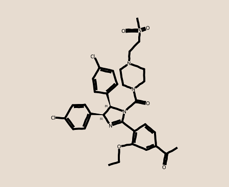 CCOc1cc(C(C)=O)ccc1C1=N[C@@H](c2ccc(Cl)cc2)[C@@H](c2ccc(Cl)cc2)N1C(=O)N1CCN(CCS(C)(=O)=O)CC1